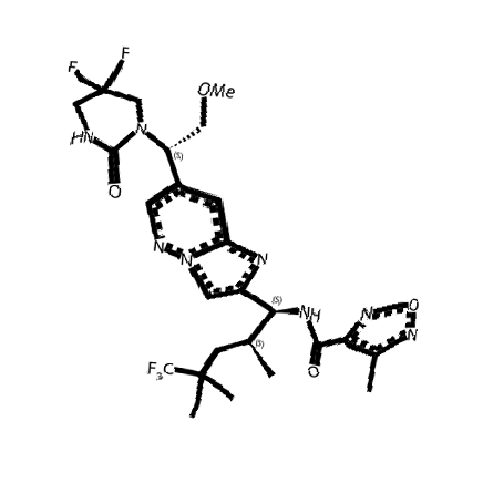 COC[C@H](c1cnn2cc([C@@H](NC(=O)c3nonc3C)[C@@H](C)CC(C)(C)C(F)(F)F)nc2c1)N1CC(F)(F)CNC1=O